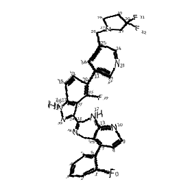 Fc1ccccc1-c1ccnc2[nH]c(-c3n[nH]c4ccc(-c5cncc(CN6CCC(F)(F)C6)c5)c(F)c34)nc12